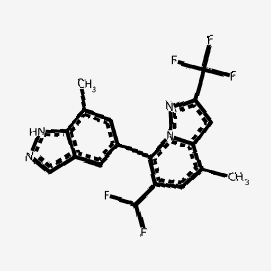 Cc1cc(-c2c(C(F)F)cc(C)c3cc(C(F)(F)F)nn23)cc2cn[nH]c12